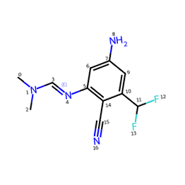 CN(C)/C=N/c1cc(N)cc(C(F)F)c1C#N